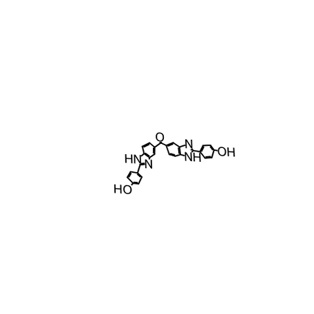 O=C(c1ccc2[nH]c(-c3ccc(O)cc3)nc2c1)c1ccc2[nH]c(-c3ccc(O)cc3)nc2c1